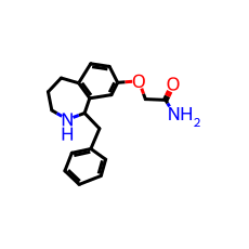 NC(=O)COc1ccc2c(c1)C(Cc1ccccc1)NCCC2